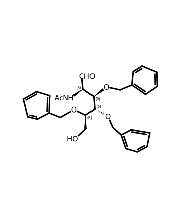 CC(=O)N[C@@H](C=O)[C@@H](OCc1ccccc1)[C@H](OCc1ccccc1)[C@@H](CO)OCc1ccccc1